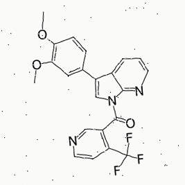 COc1ccc(-c2cn(C(=O)c3cnccc3C(F)(F)F)c3ncccc23)cc1OC